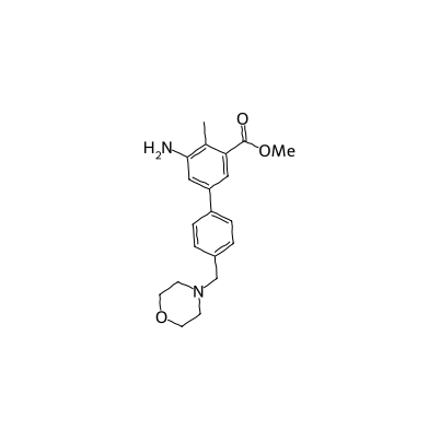 COC(=O)c1cc(-c2ccc(CN3CCOCC3)cc2)cc(N)c1C